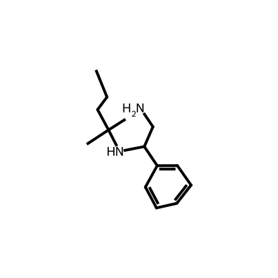 CCCC(C)(C)NC(CN)c1ccccc1